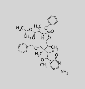 COC(C(F)[C@@](C)(COCc1ccccc1)C(C)COP(=O)(N[C@@H](C)C(=O)OC(C)C)Oc1ccccc1)n1ccc(N)nc1=O